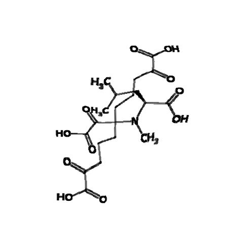 CC(C)C[C@@H](C(=O)O)N(C)C(CCCC(=O)C(=O)O)(CCCC(=O)C(=O)O)C(=O)C(=O)O